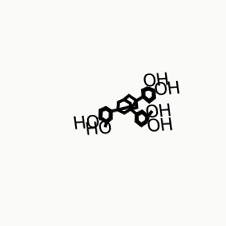 Oc1ccc(C23CC4CC(c5ccc(O)c(O)c5)(C2)CC(c2ccc(O)c(O)c2)(C4)C3)cc1O